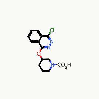 O=C(O)N1CCCC(Oc2nnc(Cl)c3ccccc23)C1